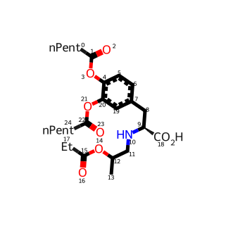 CCCCCC(=O)Oc1ccc(C[C@H](NCC(C)OC(=O)CC)C(=O)O)cc1OC(=O)CCCCC